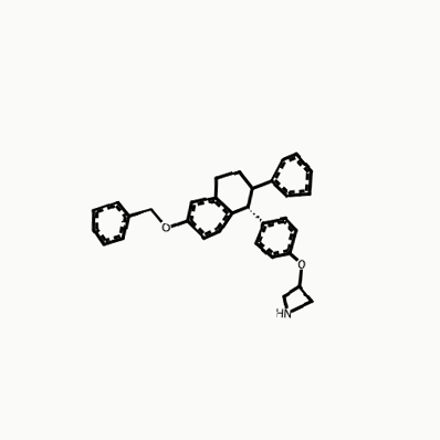 c1ccc(COc2ccc3c(c2)CCC(c2ccccc2)[C@@H]3c2ccc(OC3CNC3)cc2)cc1